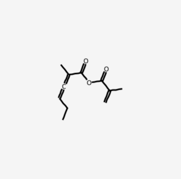 C=C(C)C(=O)OC(=O)C(C)=C=CCC